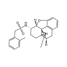 Cc1ccccc1CS(=O)(=O)N[C@H]1CC[C@@]2(O)[C@H]3Cc4cccc5c4[C@@]2(CCN3C)[C@H]1O5